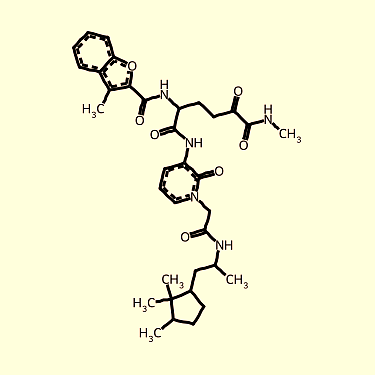 CNC(=O)C(=O)CCC(NC(=O)c1oc2ccccc2c1C)C(=O)Nc1cccn(CC(=O)NC(C)CC2CCC(C)C2(C)C)c1=O